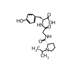 CC(C)N1CCC[C@H]1C(=O)NCC(=O)N[C@@H](Cc1ccc(O)cc1)C(=O)O